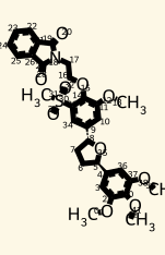 COc1cc([C@H]2CC[C@H](c3cc(OC)c(OCCN4C(=O)c5ccccc5C4=O)c(S(C)(=O)=O)c3)O2)cc(OC)c1OC